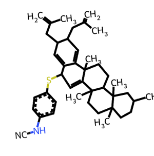 C=C(C)CC1C=C2C(=CC1CC(=C)C)C1(C)CCC3C(C)(CCC4(C)CCC(C)CC34C)C1=CC2Sc1ccc(NC#N)cc1